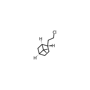 CC1(C)[C@H]2CC[C@@H](CCCl)[C@@H]1C2